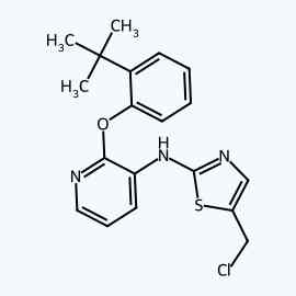 CC(C)(C)c1ccccc1Oc1ncccc1Nc1ncc(CCl)s1